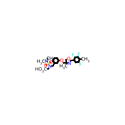 Cc1c(F)cc(C2=NC(C)(COc3cccc(CN(CC(=O)O)S(=O)(=O)N(C)C)c3)CO2)c(F)c1F